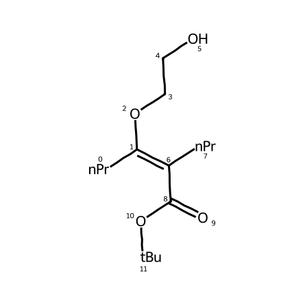 CCCC(OCCO)=C(CCC)C(=O)OC(C)(C)C